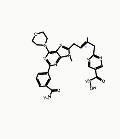 C/C(=C\Cc1nc2c(N3CCOCC3)nc(-c3cccc(C(N)=O)c3)nc2n1C)Cc1ncc(C(=O)NO)cn1